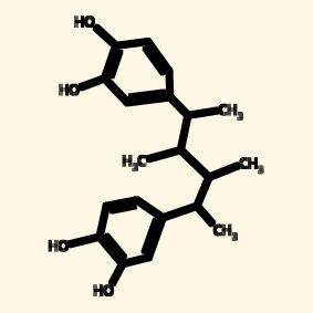 CC(c1ccc(O)c(O)c1)C(C)C(C)C(C)c1ccc(O)c(O)c1